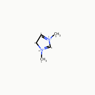 C[N+]1=CC[N+](C)=C1